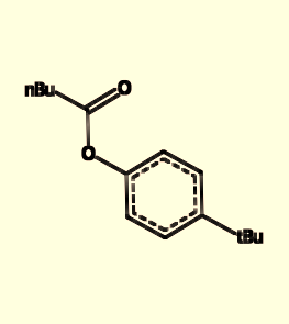 CCCCC(=O)Oc1ccc(C(C)(C)C)cc1